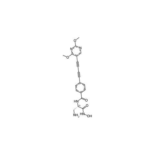 COc1ncc(C#CC#Cc2ccc(C(=O)N[C@@H](CN)C(=O)NO)cc2)c(OC)n1